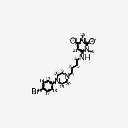 Cn1c(NCCCCN2CCN(c3ccc(Br)cc3)CC2)cc(=O)n(C)c1=O